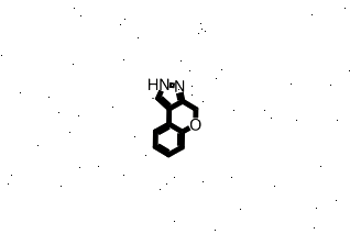 [c]1[nH]nc2c1-c1ccccc1OC2